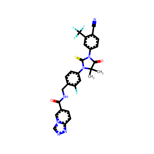 CC1(C)C(=O)N(c2ccc(C#N)c(C(F)(F)F)c2)C(=S)N1c1ccc(CNC(=O)c2ccc3nncn3c2)c(F)c1